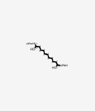 CCCCCCC(O)CCCCCCCCCC(O)CCCCC